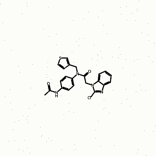 CC(=O)Nc1ccc(N(Cc2ccsc2)C(=O)Cn2c(Cl)nc3ccccc32)cc1